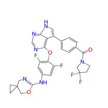 O=C(c1ccc(-c2c[nH]c3ncnc(Oc4c(F)cc(NC5=NCC6(CC6)CO5)cc4F)c23)cc1)N1CCC(F)(F)C1